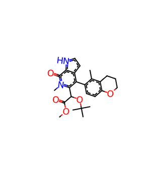 COC(=O)C(OC(C)(C)C)c1c(-c2ccc3c(c2C)CCCO3)c2cc[nH]c2c(=O)n1C